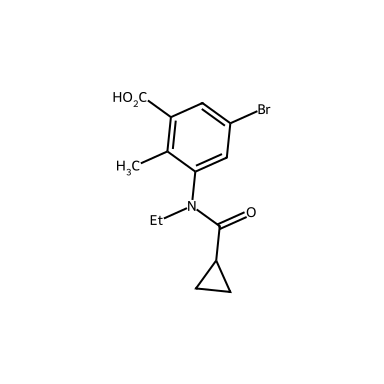 CCN(C(=O)C1CC1)c1cc(Br)cc(C(=O)O)c1C